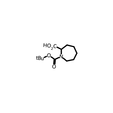 CC(C)(C)OC(=O)N1CCCCCC1C(=O)O